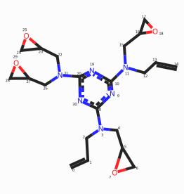 C=CCN(CC1CO1)c1nc(N(CC=C)CC2CO2)nc(N(CC2CO2)CC2CO2)n1